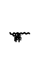 CCCCCCCCC1CC(CC)CC1C(F)(F)C(F)(F)F